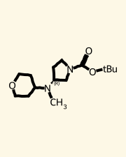 CN(C1CCOCC1)[C@@H]1CCN(C(=O)OC(C)(C)C)C1